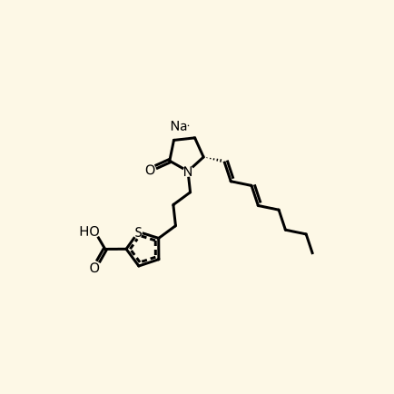 CCCCC=CC=C[C@H]1CCC(=O)N1CCCc1ccc(C(=O)O)s1.[Na]